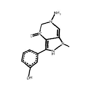 CN1NC(c2cccc(O)c2)=C2C1=CN(N)C[N+]2=O